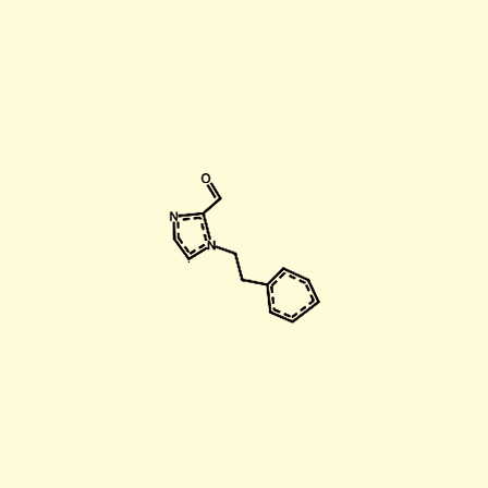 O=Cc1nc[c]n1CCc1ccccc1